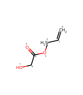 C=C[SiH2]OC(=O)CO